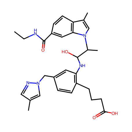 CCNC(=O)c1ccc2c(C)cn(C(C)C(O)Nc3cc(Cn4cc(C)cn4)ccc3CCCC(=O)O)c2c1